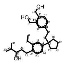 CCc1cc(C2(CCc3ccc(CO)c(CO)c3)CCCC2)ccc1CCC(O)C(C)C